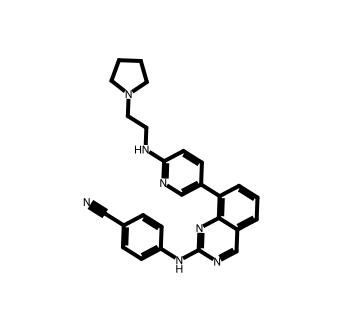 N#Cc1ccc(Nc2ncc3cccc(-c4ccc(NCCN5CCCC5)nc4)c3n2)cc1